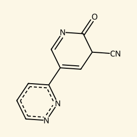 N#CC1C=C(c2cccnn2)C=NC1=O